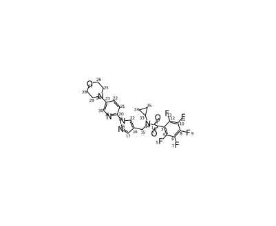 O=S(=O)(c1c(F)c(F)c(F)c(F)c1F)N(Cc1cnn(-c2ccc(N3CCOCC3)cn2)c1)C1CC1